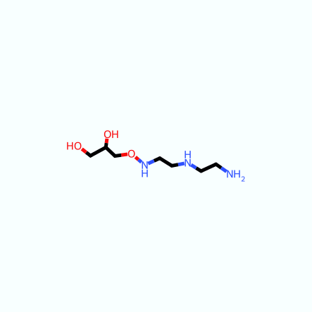 NCCNCCNOCC(O)CO